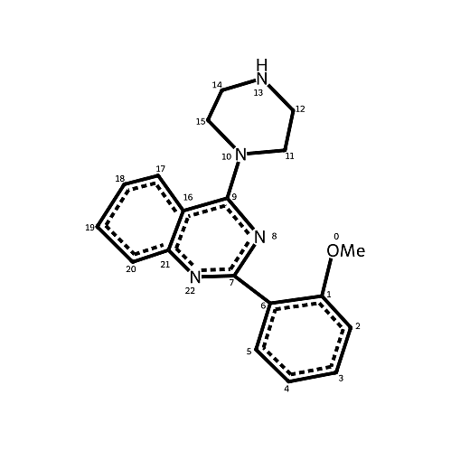 COc1ccccc1-c1nc(N2CCNCC2)c2ccccc2n1